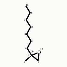 CCCCCCC[C@@]1(C)CO1